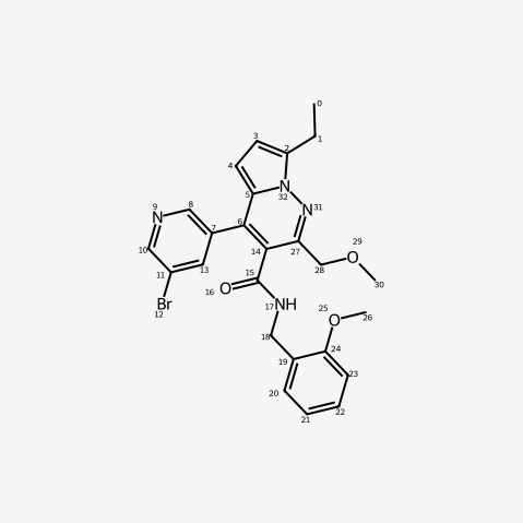 CCc1ccc2c(-c3cncc(Br)c3)c(C(=O)NCc3ccccc3OC)c(COC)nn12